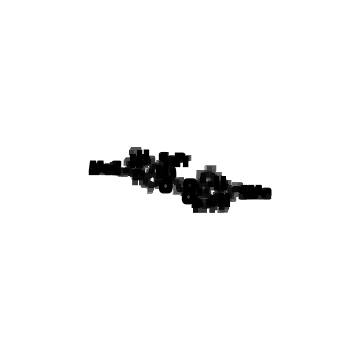 CCCSc1c2c3c(cccc3n1OC(=O)CCC(=O)On1c(SCCC)c3c4c(cccc41)[C@@H]1CC(CSC)CN(C)[C@H]1C3)[C@@H]1CC(CSC)CN(C)[C@H]1C2